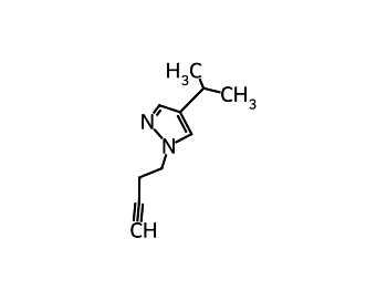 C#CCCn1cc(C(C)C)cn1